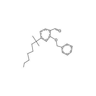 CCCCCCC(C)(C)c1ccc(C=O)c(OCc2ccccc2)c1